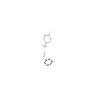 CC(C)(NC[C@H](O)c1cccc(F)c1)C1CCC(N)CC1